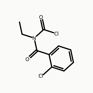 CCN(C(=O)Cl)C(=O)c1ccccc1Cl